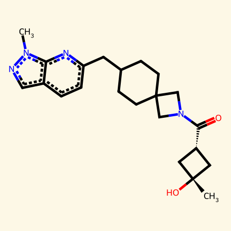 Cn1ncc2ccc(CC3CCC4(CC3)CN(C(=O)[C@H]3C[C@@](C)(O)C3)C4)nc21